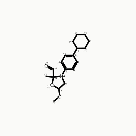 COC1CN(c2ccc(C3CCCCC3)cc2)C(C)(C=O)O1